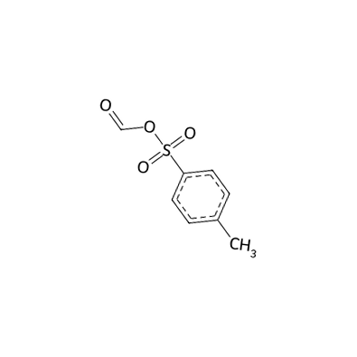 Cc1ccc(S(=O)(=O)OC=O)cc1